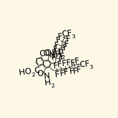 NC(=O)c1c(CC(F)(F)C(F)(F)C(F)(F)C(F)(F)C(F)(F)C(F)(F)C(F)(F)F)c(CC(F)(F)C(F)(F)C(F)(F)C(F)(F)C(F)(F)C(F)(F)C(F)(F)F)c(C(N)=O)c2c(C(=O)O)ccc(C(=O)O)c12